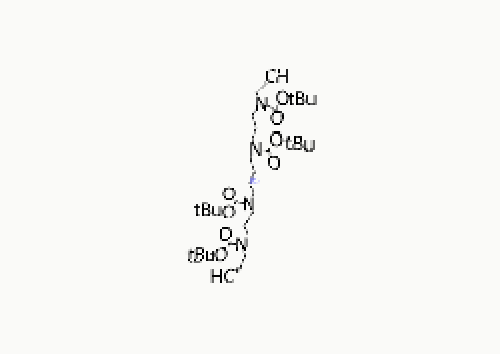 C#CCN(CCCN(C/C=C/CN(CCCN(CC#C)C(=O)OC(C)(C)C)C(=O)OC(C)(C)C)C(=O)OC(C)(C)C)C(=O)OC(C)(C)C